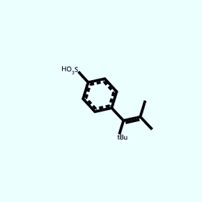 CC(C)=C(c1ccc(S(=O)(=O)O)cc1)C(C)(C)C